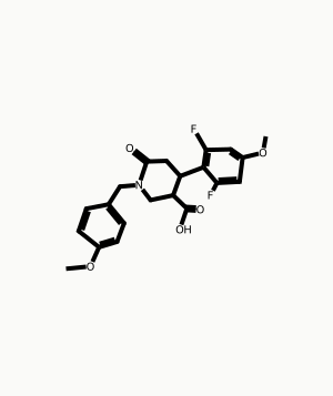 COc1ccc(CN2CC(C(=O)O)C(c3c(F)cc(OC)cc3F)CC2=O)cc1